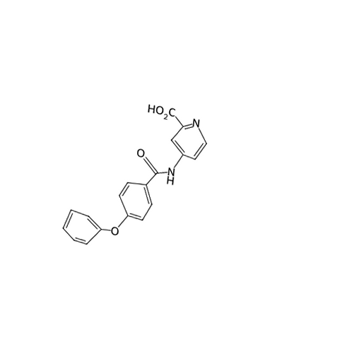 O=C(Nc1ccnc(C(=O)O)c1)c1ccc(Oc2ccccc2)cc1